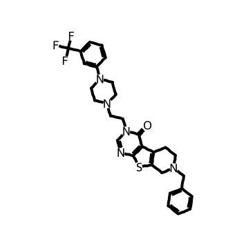 O=c1c2c3c(sc2ncn1CCN1CCN(c2cccc(C(F)(F)F)c2)CC1)CN(Cc1ccccc1)CC3